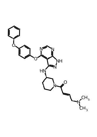 CN(C)CC=CC(=O)N1CCC[C@@H](Nc2n[nH]c3ncnc(Oc4ccc(Oc5ccccc5)cc4)c23)C1